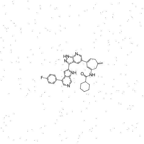 C=C1CC=C(c2cnc3[nH]nc(-c4cc5c(-c6ccc(F)cc6)cncc5[nH]4)c3c2)C=C(NC(=O)C2CCCCC2)C1